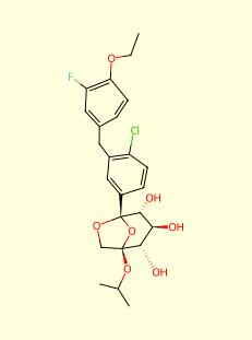 CCOc1ccc(Cc2cc([C@]34OC[C@](OC(C)C)(O3)[C@@H](O)[C@H](O)[C@H]4O)ccc2Cl)cc1F